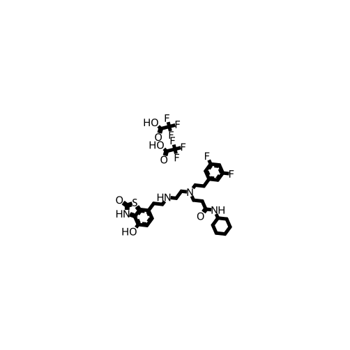 O=C(CCN(CCNCCc1ccc(O)c2[nH]c(=O)sc12)CCc1cc(F)cc(F)c1)NC1CCCCC1.O=C(O)C(F)(F)F.O=C(O)C(F)(F)F